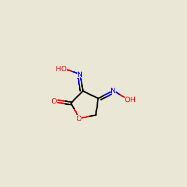 O=C1OCC(=NO)C1=NO